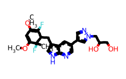 COC1=CC(OC)=C(F)C(Cc2c[nH]c3ncc(-c4cnn(CC(O)CO)c4)cc23)C1(C)F